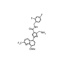 COc1ccc(-n2cc(C(=O)NCc3ccc(F)cc3F)c(CN)n2)c2ccc(C(F)(F)F)nc12